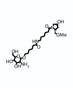 COC[C@@H]1C[C@@H](O)CN1C(=O)CCCCCNC(=O)CCCCCO[C@@H]1OC(CO)[C@H](O)C(O)[C@@H]1N